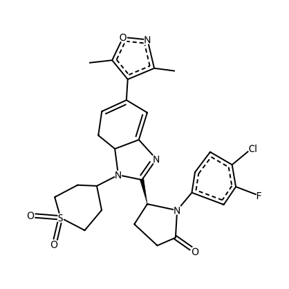 Cc1noc(C)c1C1=CCC2C(=C1)N=C([C@@H]1CCC(=O)N1c1ccc(Cl)c(F)c1)N2C1CCS(=O)(=O)CC1